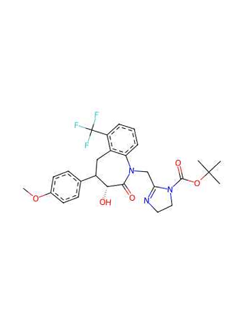 COc1ccc(C2Cc3c(cccc3C(F)(F)F)N(CC3=NCCN3C(=O)OC(C)(C)C)C(=O)[C@@H]2O)cc1